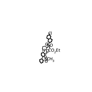 CCOC(=O)CN(C1CCCN(c2ccc(-c3ccccc3S(C)(=O)=O)cc2F)C1=O)S(=O)(=O)c1ccc2cc(Cl)ccc2c1